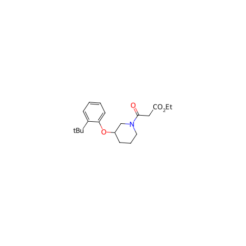 CCOC(=O)CC(=O)N1CCCC(Oc2ccccc2C(C)(C)C)C1